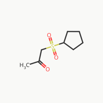 CC(=O)CS(=O)(=O)C1CCCC1